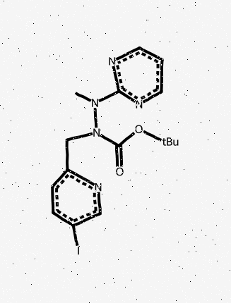 CN(c1ncccn1)N(Cc1ccc(I)cn1)C(=O)OC(C)(C)C